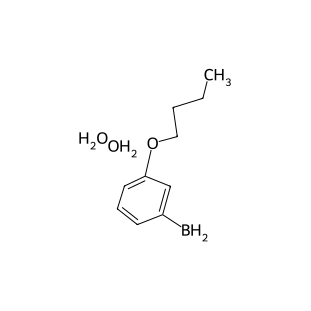 Bc1cccc(OCCCC)c1.O.O